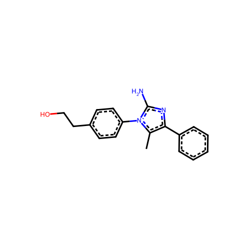 Cc1c(-c2ccccc2)nc(N)n1-c1ccc(CCO)cc1